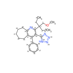 CCC(CC)(COC)c1nc2c(c(-c3ccccc3)c1-c1nnn[nH]1)CCCCC2